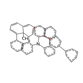 CC12C(=CC=CC1c1ccccc1N(c1ccccc1-c1ccccc1)c1ccccc1-c1ccc(-c3ccccc3)cc1)C=CC=C2c1ccccc1